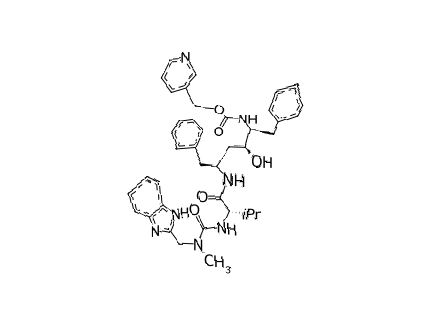 CC(C)[C@H](NC(=O)N(C)Cc1nc2ccccc2[nH]1)C(=O)N[C@@H](Cc1ccccc1)C[C@H](O)[C@H](Cc1ccccc1)NC(=O)OCc1cccnc1